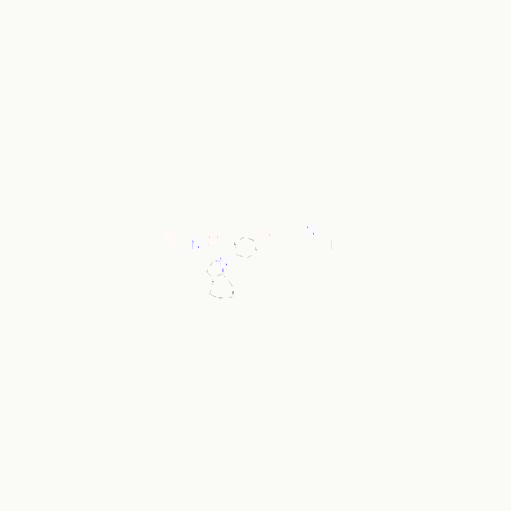 CC1CCCN1CCCOc1ccc(-n2c(C(=O)N3CCOCC3)cc3ccccc32)cc1